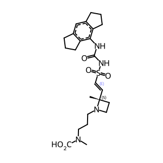 CN(CCCN1CC[C@@]1(C)/C=C/S(=O)(=O)NC(=O)Nc1c2c(cc3c1CCC3)CCC2)C(=O)O